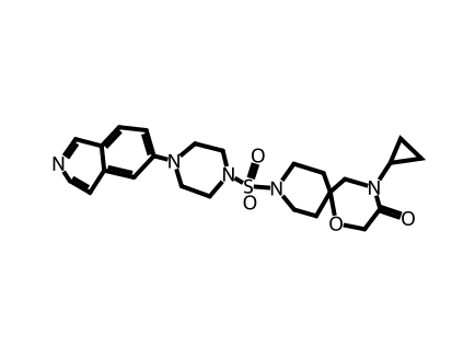 O=C1COC2(CCN(S(=O)(=O)N3CCN(c4ccc5cnccc5c4)CC3)CC2)CN1C1CC1